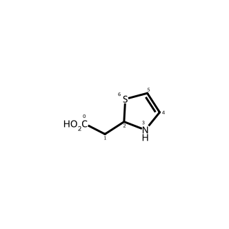 O=C(O)CC1NC=CS1